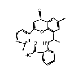 Cc1cc(C(C)Nc2ccccc2C(=O)O)c2oc(-c3cccc(C)n3)cc(=O)c2c1